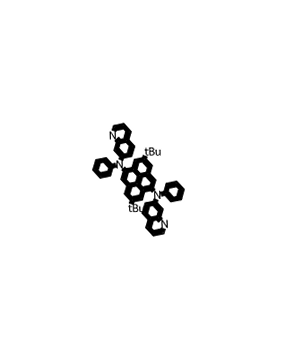 CC(C)(C)c1cc2cc(N(c3ccccc3)c3ccc4cccnc4c3)c3cc(C(C)(C)C)cc4cc(N(c5ccccc5)c5ccc6cccnc6c5)c(c1)c2c43